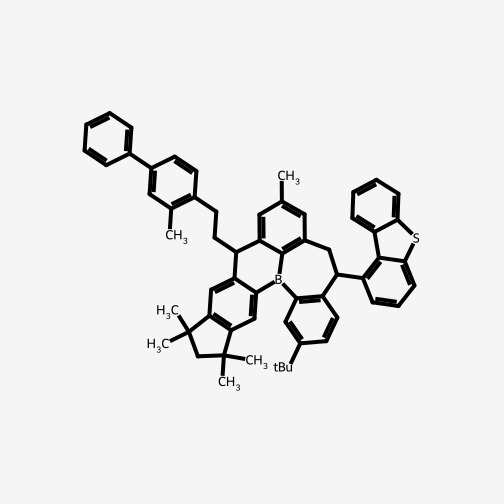 Cc1cc2c3c(c1)C(CCc1ccc(-c4ccccc4)cc1C)c1cc4c(cc1B3c1cc(C(C)(C)C)ccc1C(c1cccc3sc5ccccc5c13)C2)C(C)(C)CC4(C)C